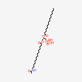 CCCCCCCCCCCCCCCC(=O)O[C@H](COC(=O)CCCCCCCCCCCCCCNC(C)=O)COP(=O)(O)O